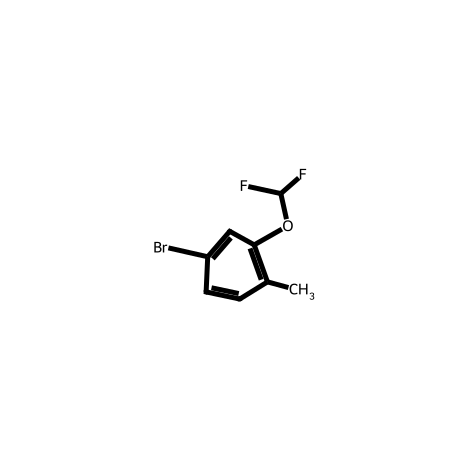 Cc1ccc(Br)cc1OC(F)F